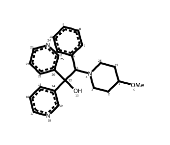 COC1CCN(C(c2ccccc2)C(O)(c2cccnc2)c2cccnc2)CC1